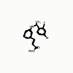 COC(=O)/C=C/c1cccc(NC(C)c2ccc(Br)cc2F)c1